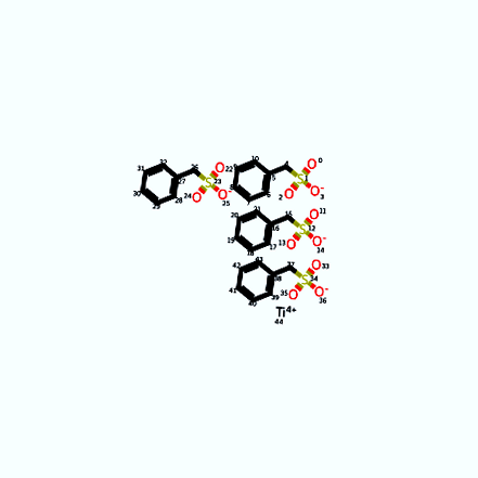 O=S(=O)([O-])Cc1ccccc1.O=S(=O)([O-])Cc1ccccc1.O=S(=O)([O-])Cc1ccccc1.O=S(=O)([O-])Cc1ccccc1.[Ti+4]